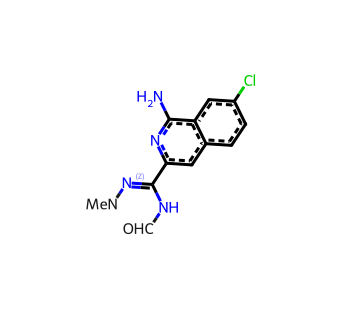 CN/N=C(\NC=O)c1cc2ccc(Cl)cc2c(N)n1